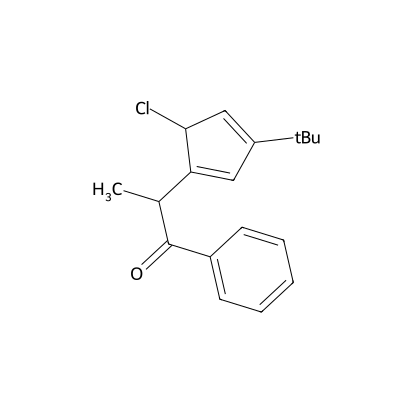 CC(C(=O)c1ccccc1)C1=CC(C(C)(C)C)=CC1Cl